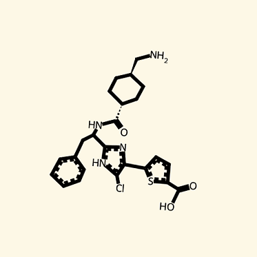 NC[C@H]1CC[C@H](C(=O)NC(Cc2ccccc2)c2nc(-c3ccc(C(=O)O)s3)c(Cl)[nH]2)CC1